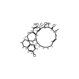 C[C@H]1C(=O)N(C)C/C=C/CCCCCN2C[C@@]3(CCCc4cc(Cl)ccc43)COc3ccc(cc32)[C@]1(O)C(=O)O